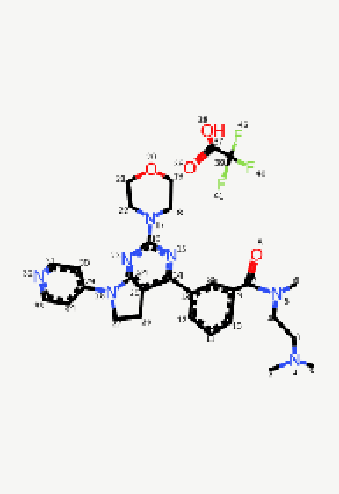 CN(C)CCN(C)C(=O)c1cccc(-c2nc(N3CCOCC3)nc3c2CCN3c2ccncc2)c1.O=C(O)C(F)(F)F